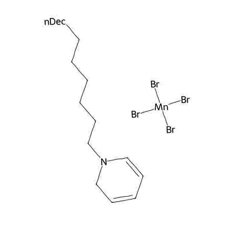 CCCCCCCCCCCCCCCCN1C=CC=CC1.[Br][Mn]([Br])([Br])[Br]